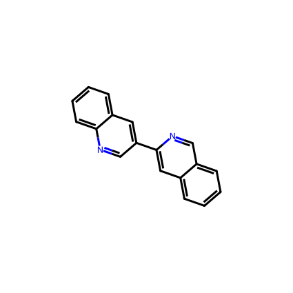 c1ccc2cc(-c3cnc4ccccc4c3)ncc2c1